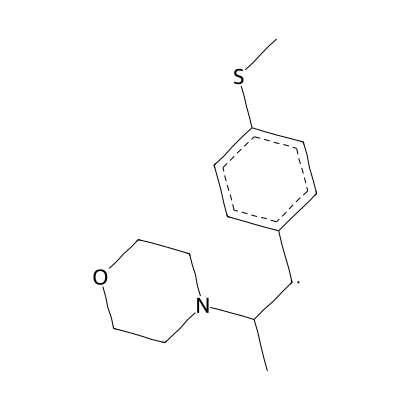 CSc1ccc([CH]C(C)N2CCOCC2)cc1